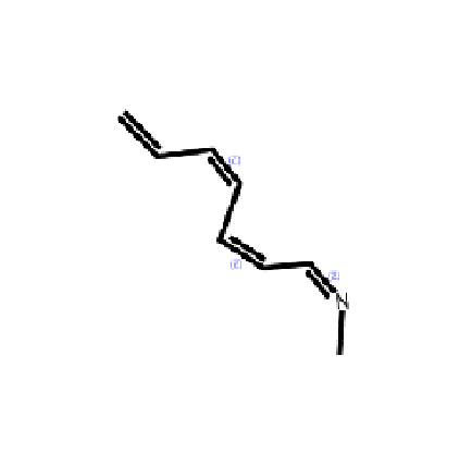 C=C\C=C/C=C\C=N/C